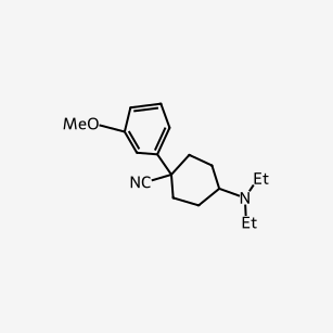 CCN(CC)C1CCC(C#N)(c2cccc(OC)c2)CC1